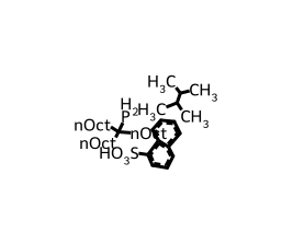 CC(C)C(C)C.CCCCCCCCC(P)(CCCCCCCC)CCCCCCCC.O=S(=O)(O)c1cccc2ccccc12